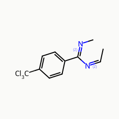 C/C=N\C(=N/C)c1ccc(C(Cl)(Cl)Cl)cc1